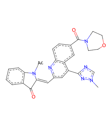 CC(=O)N1/C(=C\c2cc(-c3ncn(C)n3)c3cc(C(=O)N4CCOCC4)ccc3n2)C(=O)c2ccccc21